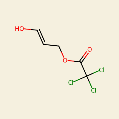 O=C(OCC=CO)C(Cl)(Cl)Cl